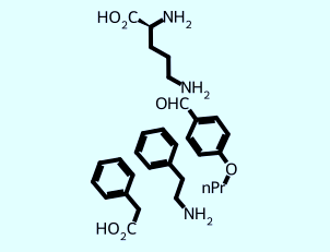 CCCOc1ccc(C=O)cc1.NCCC[C@H](N)C(=O)O.NCCc1ccccc1.O=C(O)Cc1ccccc1